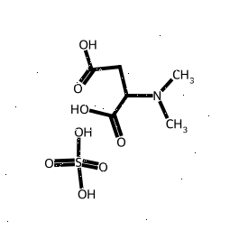 CN(C)C(CC(=O)O)C(=O)O.O=S(=O)(O)O